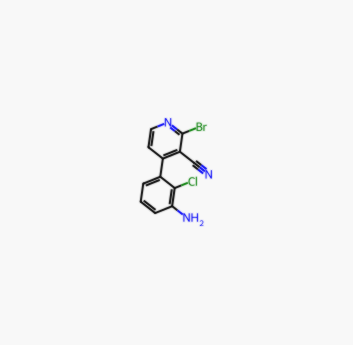 N#Cc1c(-c2cccc(N)c2Cl)ccnc1Br